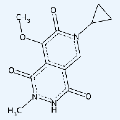 COc1c(=O)n(C2CC2)cc2c(=O)[nH]n(C)c(=O)c12